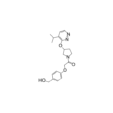 CC(C)c1ccnnc1OC1CCN(C(=O)COc2ccc(CO)cc2)C1